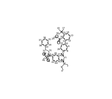 CCC(C)N1CN(c2ccc(-c3cccc(C(C)(C)C)c3C(=O)OC)cc2)c2cc(N(CCc3ccccc3)S(C)(=O)=O)ccc21